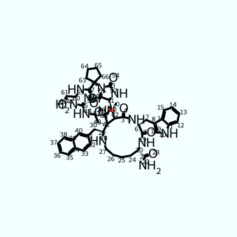 CNC1C(=O)N[C@@H](Cc2c[nH]c3ccccc23)C(=O)N[C@H](C(N)=O)CCCCN[C@@H](Cc2ccc3ccccc3c2)[C@@]1(CCNC(=N)N)C(=O)C[C@@H]1NC(=O)N(C2(C(=O)NCC=O)CCCC2)C1=O